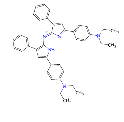 CCN(CC)c1ccc(C2=N/C(=N\c3[nH]c(-c4ccc(N(CC)CC)cc4)cc3-c3ccccc3)C(c3ccccc3)=C2)cc1